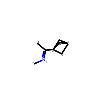 CN=C(C)C12CC(C1)C2